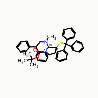 CN(CC(c1ccccc1)c1ccccc1)[C@H]1[C@@H](SC(c2ccccc2)(c2ccccc2)c2ccccc2)CCN1C(=O)OC(C)(C)C